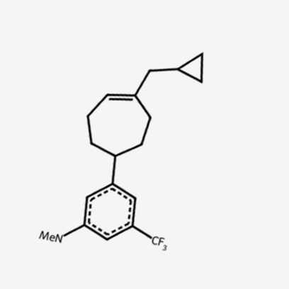 CNc1cc(C2CCC=C(CC3CC3)CC2)cc(C(F)(F)F)c1